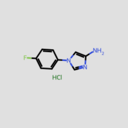 Cl.Nc1cn(-c2ccc(F)cc2)cn1